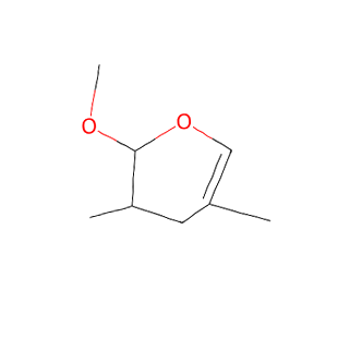 COC1OC=C(C)CC1C